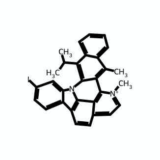 Cc1c2ccccc2c(C(C)C)c2c1c1c3c(ccc4c5ccc(I)cc5n2c43)cc[n+]1C